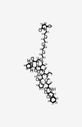 CCC(C)C(C(CC(=O)N1CCC[C@H]1C(OC)C(C)C(=O)NC(Cc1ccccc1)C(=O)O)OC)N(C)C(=O)C(NC(=O)[C@@H]1[C@H]2CC[C@H](C2)N1C(=O)CCOCCOCCOCCOCCN1C(=O)C=CC1=O)C(C)C